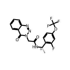 C[C@H](NC(=O)Cn1nnc2ccccc2c1=O)c1ccc(OC(F)(F)F)cc1F